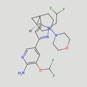 Nc1ncc(-c2cc(C34CCC(N5CCOCC5)C[C@H]3C4)n(CC(F)F)n2)cc1OC(F)F